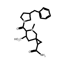 CN1CC2(CC(C(=O)O)C1C(=O)N1CCC(Cc3ccccc3)C1)CC2C(N)=O